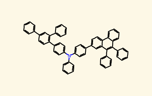 c1ccc(-c2ccc(-c3ccc(N(c4ccccc4)c4ccc(-c5ccc6c(c5)c(-c5ccccc5)c(-c5ccccc5)c5ccccc56)cc4)cc3)c(-c3ccccc3)c2)cc1